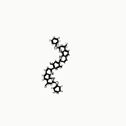 Cc1cc(-c2ccc3ccc4c(C)cc(Oc5ccccc5)nc4c3n2)c(C)cc1-c1ccc2ccc3c(C)cc(Oc4ccccc4)nc3c2n1